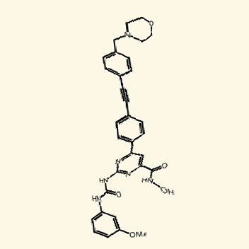 COc1cccc(NC(=O)Nc2nc(C(=O)NO)cc(-c3ccc(C#Cc4ccc(CN5CCOCC5)cc4)cc3)n2)c1